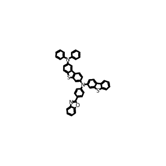 c1ccc(N(c2ccccc2)c2ccc3sc4cc(N(c5ccc(-c6nc7ccccc7o6)cc5)c5ccc6c(c5)sc5ccccc56)ccc4c3c2)cc1